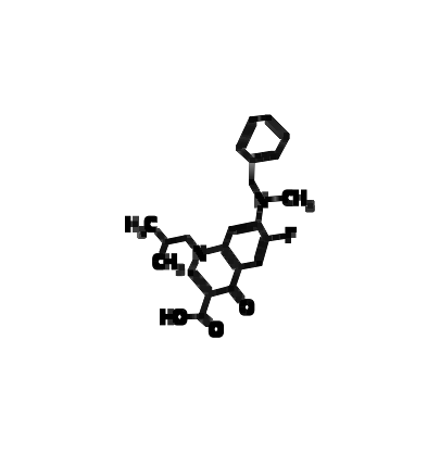 CC(C)Cn1cc(C(=O)O)c(=O)c2cc(F)c(N(C)Cc3ccccc3)cc21